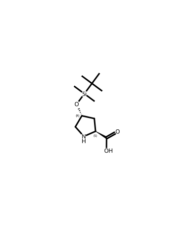 CC(C)(C)[Si](C)(C)O[C@H]1CN[C@H](C(=O)O)C1